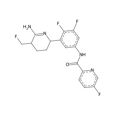 NC1=NC(c2cc(NC(=O)c3ccc(F)cn3)cc(F)c2F)CCC1CF